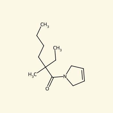 CCCCC(C)(CC)C(=O)N1CC=CC1